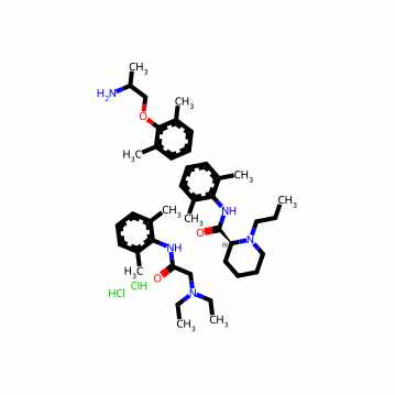 CCCN1CCCC[C@H]1C(=O)Nc1c(C)cccc1C.CCN(CC)CC(=O)Nc1c(C)cccc1C.Cc1cccc(C)c1OCC(C)N.Cl.Cl